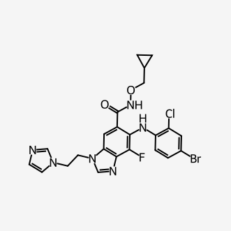 O=C(NOCC1CC1)c1cc2c(ncn2CCn2ccnc2)c(F)c1Nc1ccc(Br)cc1Cl